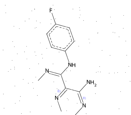 CN=C(Nc1ccc(F)cc1)C(=N/C)/C(N)=N\C